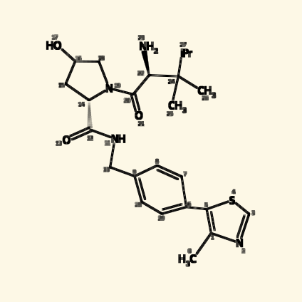 Cc1ncsc1-c1ccc(CNC(=O)[C@@H]2CC(O)CN2C(=O)[C@@H](N)C(C)(C)C(C)C)cc1